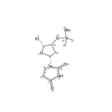 CC[C@H]1O[C@@H](n2ccc(=O)[nH]c2=O)CC1O[Si](C)(C)C(C)(C)C